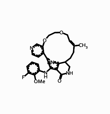 COc1c(F)cccc1Nc1c2[nH]c3c1C(=O)NCC3CC/C(C)=C/COCCOc1cnccc1-2